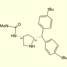 CNC(=O)N[C@H]1CN[C@@H](C(c2ccc(C(C)(C)C)cc2)c2ccc(C(C)(C)C)cc2)C1